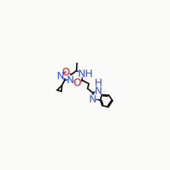 CC(NC(=O)CCc1nc2ccccc2[nH]1)c1nc(C2CC2)no1